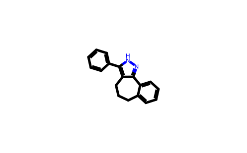 c1ccc(-c2[nH]nc3c2CCCc2ccccc2-3)cc1